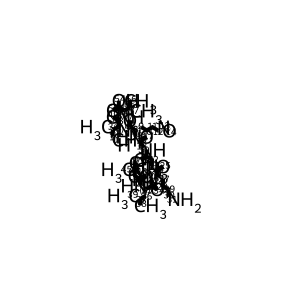 CCC(C)[C@@H](NC(=O)[C@H](CCCCN=O)NC(=O)CNC(=O)CNC(=O)[C@@H](CCCCN)NC(=O)[C@H](CC(C)C)NC(=O)OC(C)(C)C)C(=O)N[C@H](C(=O)O)C(C)C